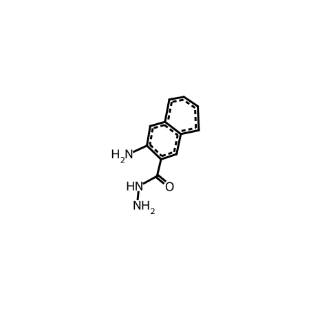 NNC(=O)c1cc2ccccc2cc1N